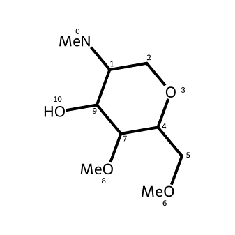 CNC1COC(COC)C(OC)C1O